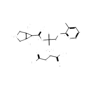 Cc1cccnc1OCC(C)(C)NC(=O)C1[C@H]2CNC[C@@H]12.O=C(O)C[C@H](O)C(=O)O